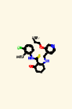 COCCOc1cnccc1CNC1=C(C(=S)Nc2cccc(Cl)c2OC)C(=O)CCC1